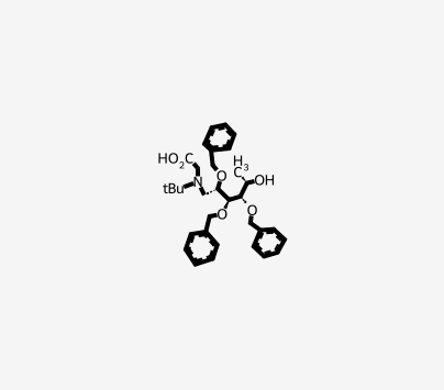 C[C@H](O)[C@H](OCc1ccccc1)[C@@H](OCc1ccccc1)[C@H](CN(CC(=O)O)C(C)(C)C)OCc1ccccc1